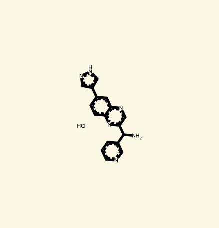 Cl.NC(c1cccnc1)c1cnc2cc(-c3cn[nH]c3)ccc2n1